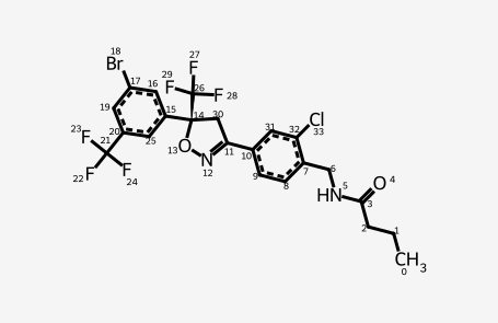 CCCC(=O)NCc1ccc(C2=NO[C@@](c3cc(Br)cc(C(F)(F)F)c3)(C(F)(F)F)C2)cc1Cl